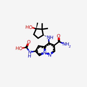 CC1(C)[C@H](Nc2c(C(N)=O)cnn3cc(NC(=O)O)cc23)CC[C@]1(C)O